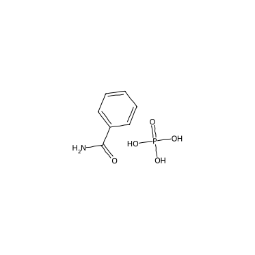 NC(=O)c1ccccc1.O=P(O)(O)O